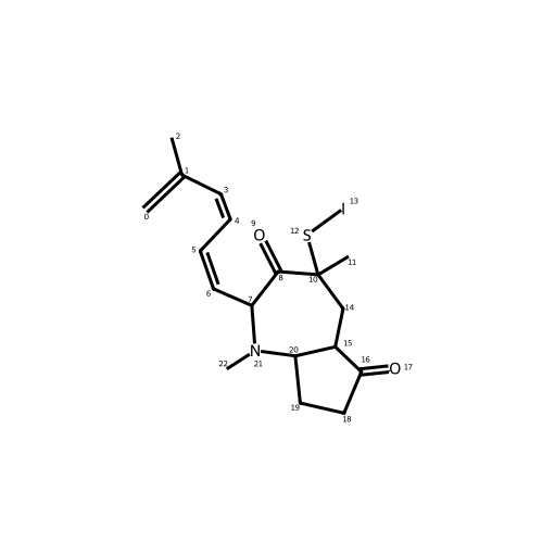 C=C(C)/C=C\C=C/C1C(=O)C(C)(SI)CC2C(=O)CCC2N1C